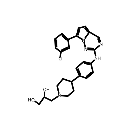 OC[C@@H](O)CN1CCC(c2ccc(Nc3ncc4ccc(-c5cccc(Cl)c5)n4n3)cc2)CC1